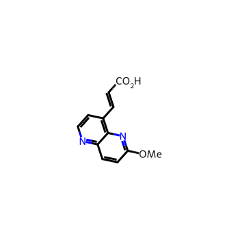 COc1ccc2nccc(C=CC(=O)O)c2n1